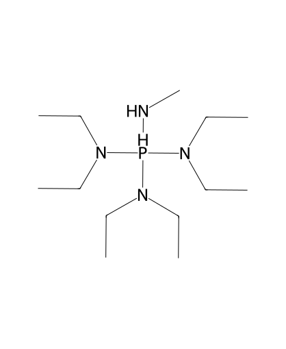 CCN(CC)[PH](NC)(N(CC)CC)N(CC)CC